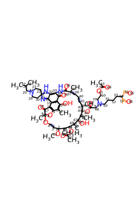 CO[C@H]1/C=C/O[C@@]2(C)Oc3c(C)c(O)c4c(c3C2=O)C2=NC3(CCN(CC(C)C)CC3)NC2=C(NC(=O)/C(C)=C\C=C\[C@H](C)[C@H](OC(=O)CN(CCCCC(P=O)P=O)CCOC(C)=O)[C@@H](C)[C@@H](O)[C@@H](C)[C@H](OC(C)=O)[C@@H]1C)C4=O